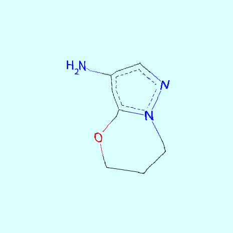 Nc1cnn2c1OCCC2